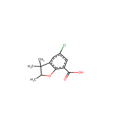 CC1Oc2c(C(=O)O)cc(Cl)cc2C1(C)C